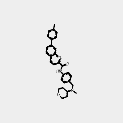 Cc1ccc(-c2ccc3ccc(C(=O)Nc4ccc(CN(C)C5CCOCC5)cc4)nc3c2)cc1